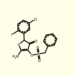 NC1=C(OS(=O)(=O)Cc2ccccc2)C(=O)C(c2cc(Cl)ccc2F)O1